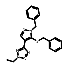 CCn1nnc(-c2cnn(Cc3ccccc3)c2SCc2ccccc2)n1